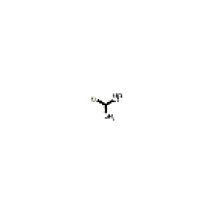 CCC([SiH3])CC.Cl